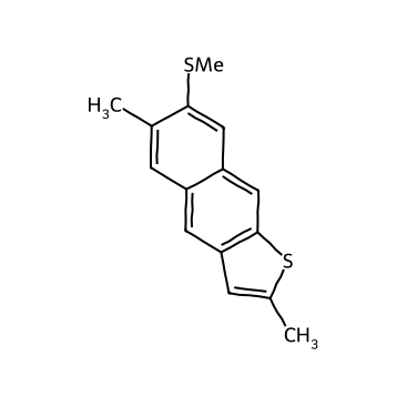 CSc1cc2cc3sc(C)cc3cc2cc1C